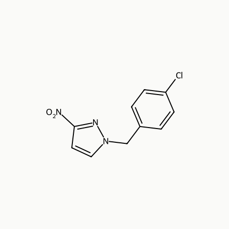 O=[N+]([O-])c1ccn(Cc2ccc(Cl)cc2)n1